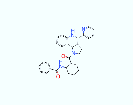 O=C(N[C@@H]1CCCC[C@@H]1C(=O)N1CCC2C(c3ccccn3)Nc3ccccc3C21)c1ccccc1